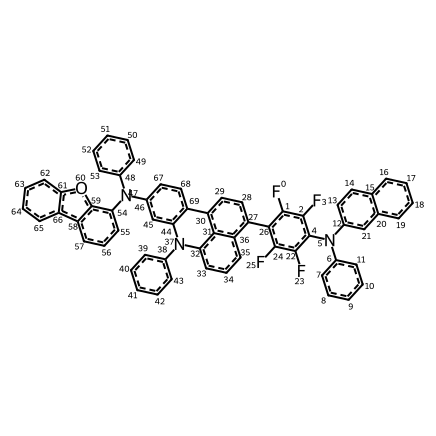 Fc1c(F)c(N(c2ccccc2)c2ccc3ccccc3c2)c(F)c(F)c1-c1ccc2c3c(cccc13)N(c1ccccc1)c1cc(N(c3ccccc3)c3cccc4c3oc3ccccc34)ccc1-2